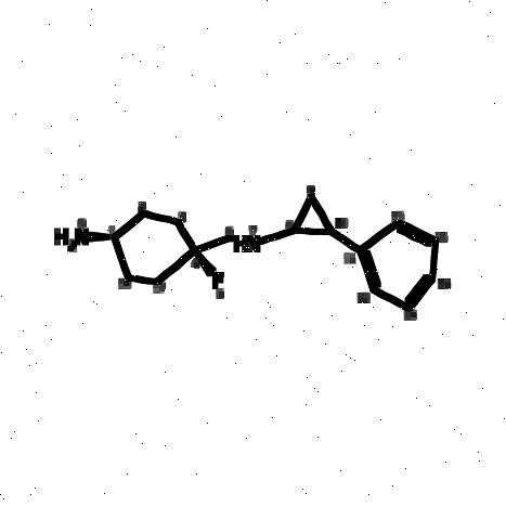 N[C@H]1CC[C@](F)(CNC2CC2c2ccccc2)CC1